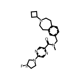 CN(Cc1ccc2c(c1)CCN(C1CCC1)CC2)C(=O)c1cnc(N2CC[C@@H](F)C2)cn1